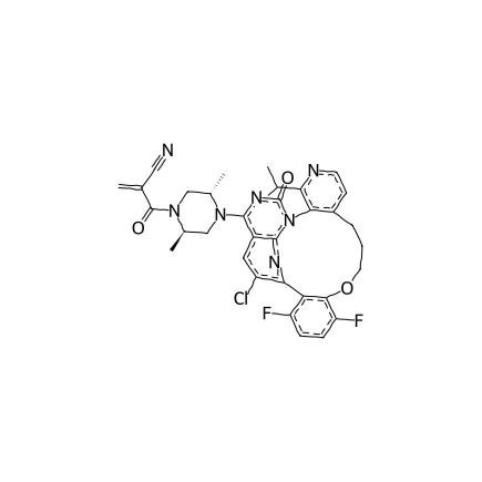 C=C(C#N)C(=O)N1C[C@H](C)N(c2nc(=O)n3c4nc(c(Cl)cc24)-c2c(F)ccc(F)c2OCCCc2ccnc(C(C)C)c2-3)C[C@H]1C